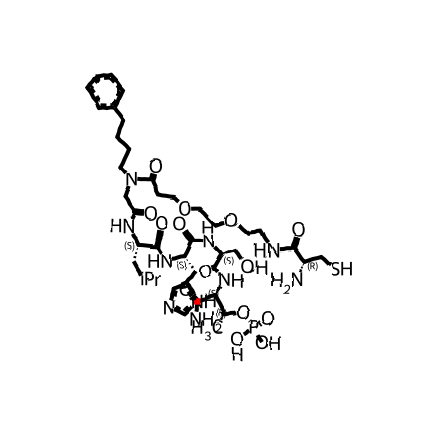 CC(C)C[C@H](NC(=O)CN(CCCCc1ccccc1)C(=O)CCOCCOCCNC(=O)[C@@H](N)CS)C(=O)N[C@@H](Cc1cnc[nH]1)C(=O)N[C@@H](CO)C(=O)N[C@H](C(N)=O)[C@@H](C)OP(=O)(O)O